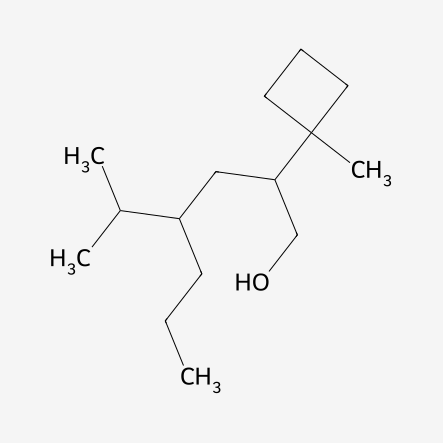 CCCC(CC(CO)C1(C)CCC1)C(C)C